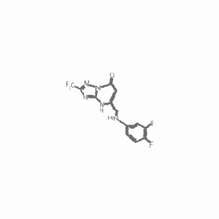 O=c1cc(CNc2ccc(F)c(F)c2)[nH]c2nc(C(F)(F)F)nn12